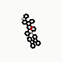 c1ccc(N(c2ccc3c(c2)C2(c4ccccc4-c4ccccc42)c2ccccc2-3)c2ccccc2-c2ccc3c4ccccc4c4c(ccc5oc6ccccc6c54)c3c2)cc1